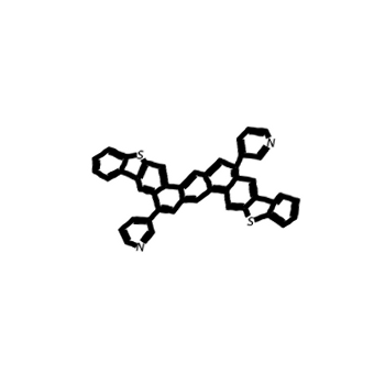 c1cncc(-c2cc3cc4c(cc(-c5cccnc5)c5cc6c(cc54)sc4ccccc46)cc3c3cc4sc5ccccc5c4cc23)c1